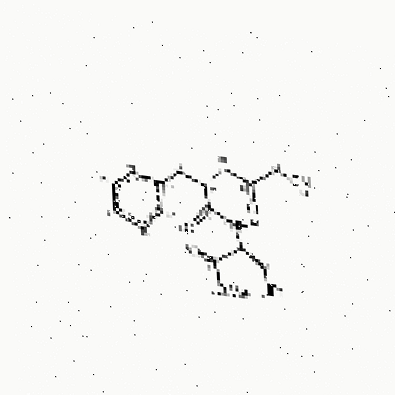 COC(=O)[C@H](CC(C)C)NC(=O)[C@@H](CC(=O)CC#N)Cc1ccccc1